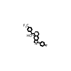 C[C@]12Cc3cnn(-c4ccc(F)cc4)c3C=C1CCC[C@@H]2[C@@H](O)c1ccc(C(F)(F)F)cc1